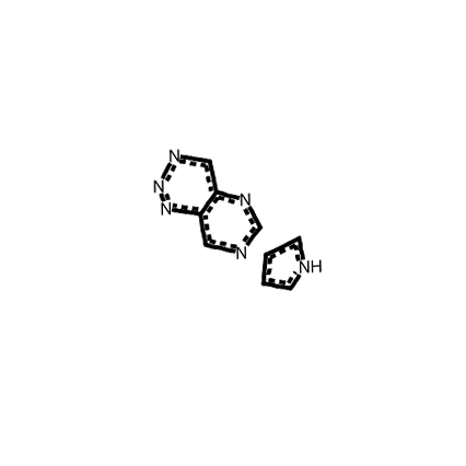 c1cc[nH]c1.c1ncc2nnncc2n1